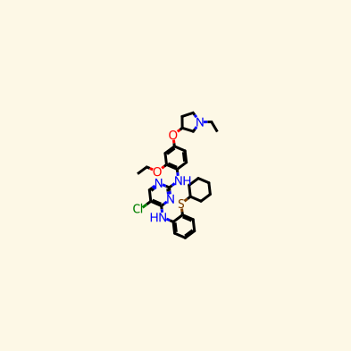 CCOc1cc(OC2CCN(CC)C2)ccc1Nc1ncc(Cl)c(Nc2ccccc2SC2CCCCC2)n1